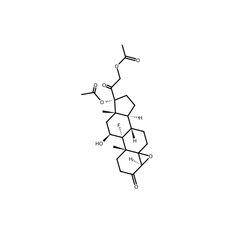 CC(=O)OCC(=O)[C@@]1(OC(C)=O)CC[C@H]2[C@@H]3CCC45O[C@H]4C(=O)CC[C@]5(C)[C@@]3(F)[C@@H](O)C[C@@]21C